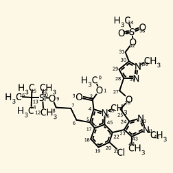 COC(=O)c1c(CCCO[Si](C)(C)C(C)(C)C)c2ccc(Cl)c(-c3c(COCc4cc(COS(C)(=O)=O)n(C)n4)nn(C)c3C)c2n1C